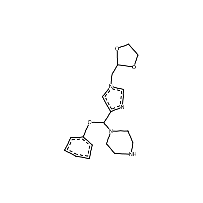 c1ccc(OC(c2cn(CC3OCCO3)cn2)N2CCNCC2)cc1